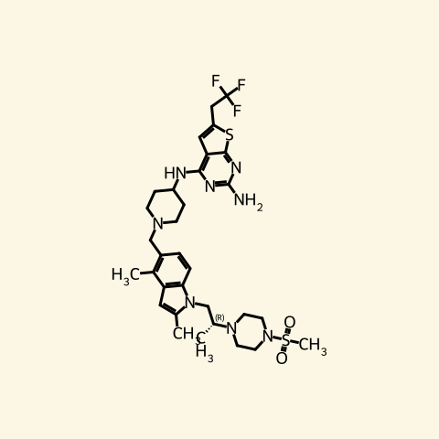 Cc1c(CN2CCC(Nc3nc(N)nc4sc(CC(F)(F)F)cc34)CC2)ccc2c1cc(C)n2C[C@@H](C)N1CCN(S(C)(=O)=O)CC1